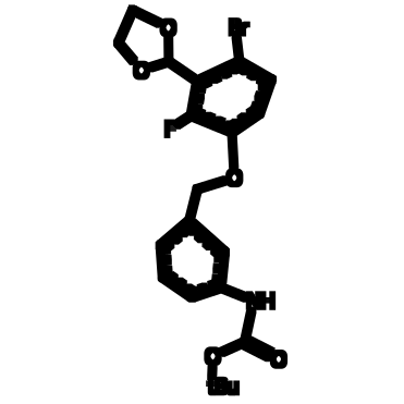 CC(C)(C)OC(=O)Nc1cccc(COc2ccc(Br)c(C3OCCO3)c2F)c1